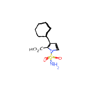 NS(=O)(=O)n1ccc(C2CCCCC2)c1C(=O)O